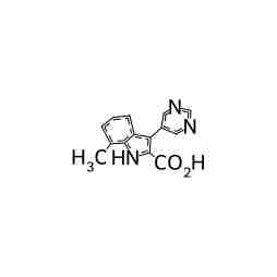 Cc1cccc2c(-c3cncnc3)c(C(=O)O)[nH]c12